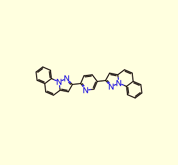 c1ccc2c(c1)ccc1cc(-c3ccc(-c4cc5ccc6ccccc6n5n4)nc3)nn12